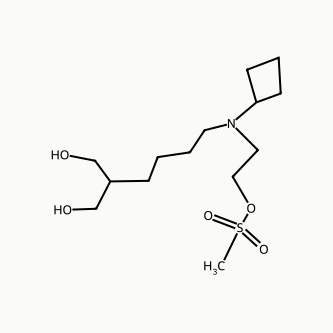 CS(=O)(=O)OCCN(CCCCC(CO)CO)C1CCC1